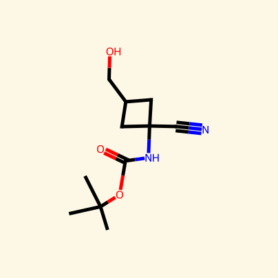 CC(C)(C)OC(=O)NC1(C#N)CC(CO)C1